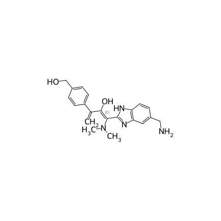 C=C(/C(O)=C(/c1nc2cc(CN)ccc2[nH]1)N(C)C)c1ccc(CO)cc1